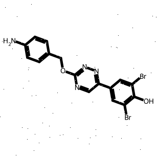 Nc1ccc(COc2ncc(-c3cc(Br)c(O)c(Br)c3)nn2)cc1